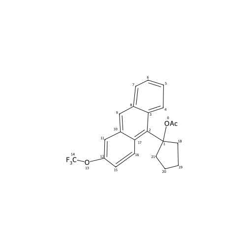 CC(=O)OC1(c2c3ccccc3cc3cc(OC(F)(F)F)ccc23)CCCC1